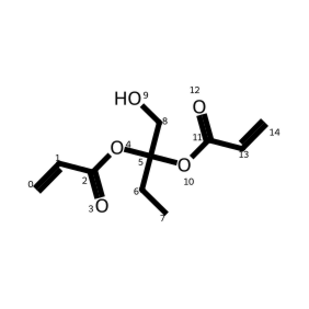 C=CC(=O)OC(CC)(CO)OC(=O)C=C